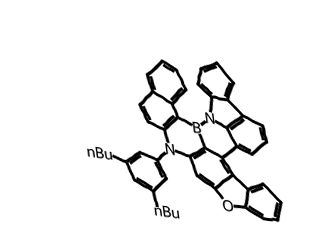 CCCCc1cc(CCCC)cc(N2c3cc4oc5ccccc5c4c4c3B(c3c2ccc2ccccc32)n2c3ccccc3c3cccc-4c32)c1